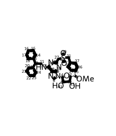 COC[C@H]1O[C@@H](n2cnc3c(NCC(c4ccccc4)c4ccccc4)nc(CS(=O)(=O)Cc4ccccc4)nc32)[C@H](O)[C@@H]1O